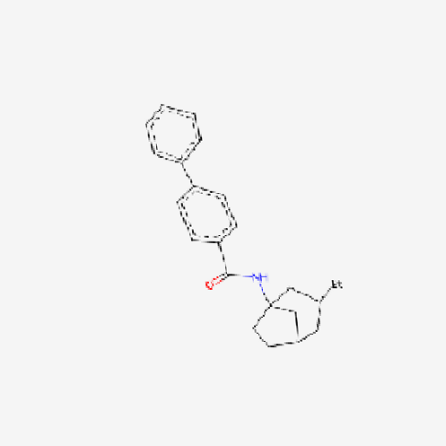 CCC1CC2CCC(NC(=O)c3ccc(-c4ccccc4)cc3)(C1)C2